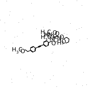 CNC(=O)[C@@](C)(C(=O)NOC1CCCCO1)N(C)C(=O)c1ccc(C#Cc2ccc(CCOC)cc2)cc1